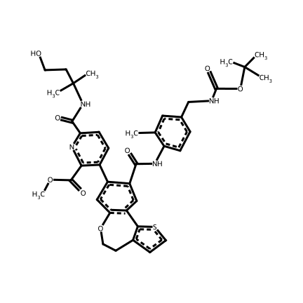 COC(=O)c1nc(C(=O)NC(C)(C)CCO)ccc1-c1cc2c(cc1C(=O)Nc1ccc(CNC(=O)OC(C)(C)C)cc1C)-c1sccc1CCO2